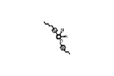 CCCCCC12CCC(c3ccc(OCC45CCC(CCC)(CC4)CC5)c(C#N)c3C#N)(CC1)CC2